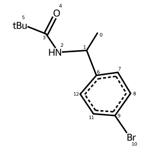 CC(NC(=O)C(C)(C)C)c1ccc(Br)cc1